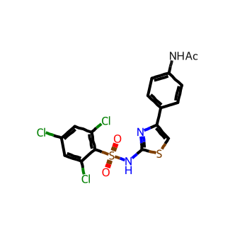 CC(=O)Nc1ccc(-c2csc(NS(=O)(=O)c3c(Cl)cc(Cl)cc3Cl)n2)cc1